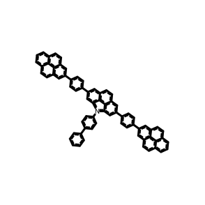 c1ccc(-c2ccc(-n3c4cc(-c5ccc(-c6cc7ccc8cccc9ccc(c6)c7c89)cc5)cc5ccc6cc(-c7ccc(-c8cc9ccc%10cccc%11ccc(c8)c9c%10%11)cc7)cc3c6c54)cc2)cc1